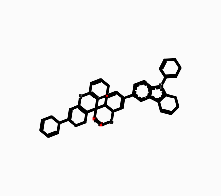 C1=CCC(C2=CC3=C(CC2)C2(C4=CCCC=C4SC4C=C(c5ccc6c(c5)c5c(n6C6=CCCC=C6)CCC=C5)C=CC42)C2=C(C=CCC2)S3)C=C1